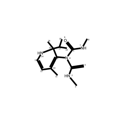 C=C(NC)N(C(=O)NC)C1=C(C)C=CNC1(C)C(C)C